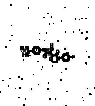 N=C(N)c1ccc(NC(=O)[C@H](O)[C@H]2OCCN(c3ccc(F)nc3)C2=O)cc1